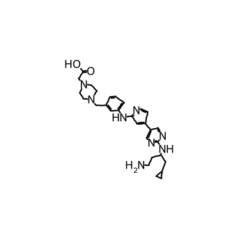 NCCC(CC1CC1)Nc1ncc(-c2ccnc(Nc3cccc(CN4CCN(CC(=O)O)CC4)c3)c2)cn1